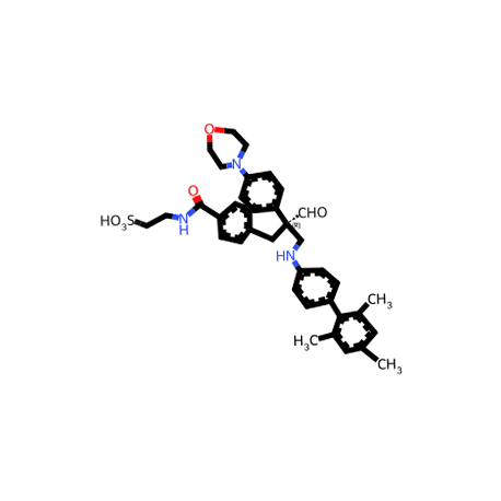 Cc1cc(C)c(-c2ccc(NC[C@@](C=O)(Cc3ccc(C(=O)NCCS(=O)(=O)O)cc3)c3ccc(N4CCOCC4)cc3)cc2)c(C)c1